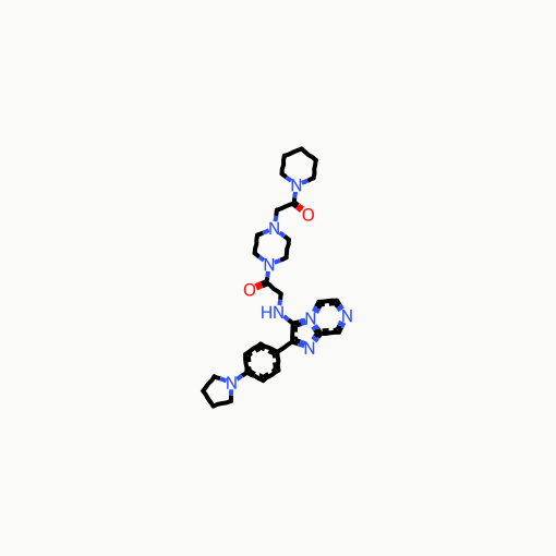 O=C(CNc1c(-c2ccc(N3CCCC3)cc2)nc2cnccn12)N1CCN(CC(=O)N2CCCCC2)CC1